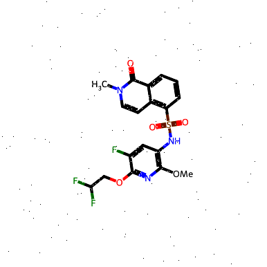 COc1nc(OCC(F)F)c(F)cc1NS(=O)(=O)c1cccc2c(=O)n(C)ccc12